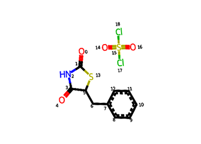 O=C1NC(=O)C(Cc2ccccc2)S1.O=S(=O)(Cl)Cl